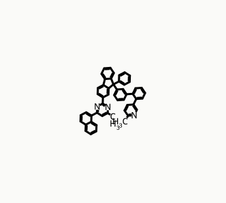 Cc1ccc(-c2ccccc2-c2cccc(C3(c4ccccc4)c4ccccc4-c4ccc(-c5nc(C)cc(-c6cccc7ccccc67)n5)cc43)c2)cn1